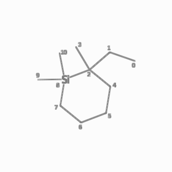 CCC1(C)CCCC[Si]1(C)C